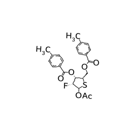 CC(=O)OC1S[C@H](COC(=O)c2ccc(C)cc2)[C@@H](OC(=O)c2ccc(C)cc2)[C@H]1F